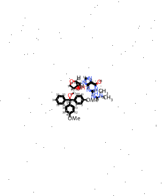 COc1ccc(C(OC[C@@]23CO[C@@H]([C@H](n4cnc5c(=O)[nH]c(/N=C\N(C)C)nc54)O2)[C@@H]3O)(c2ccccc2)c2ccc(OC)cc2)cc1